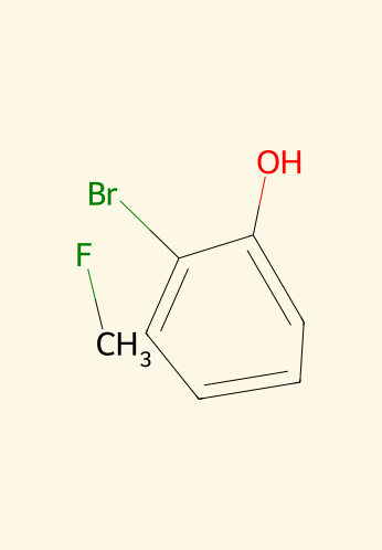 CF.Oc1ccccc1Br